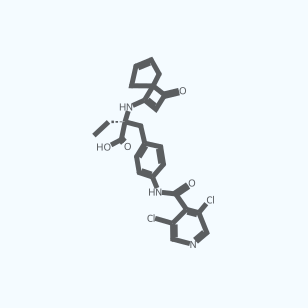 CC[C@@](Cc1ccc(NC(=O)c2c(Cl)cncc2Cl)cc1)(NC1=CC(=O)C12CC=CC2)C(=O)O